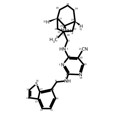 CC1(CNc2nc(NCc3cccc4ccsc34)ncc2C#N)C[C@H]2CCC[C@@H](C1)[C@@H]2N